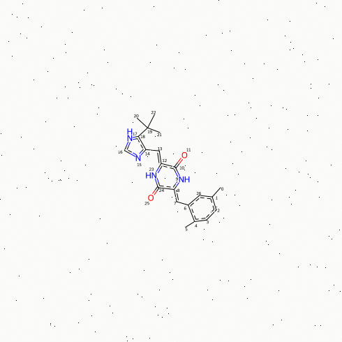 Cc1ccc(C)c(/C=c2\[nH]c(=O)/c(=C/c3nc[nH]c3C(C)(C)C)[nH]c2=O)c1